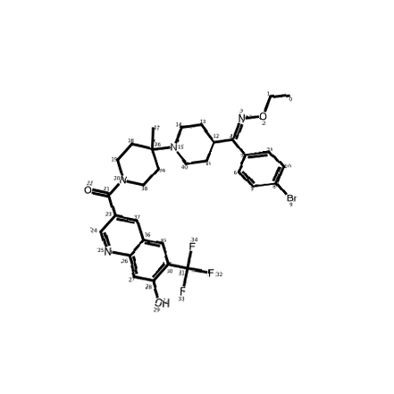 CCON=C(c1ccc(Br)cc1)C1CCN(C2(C)CCN(C(=O)c3cnc4cc(O)c(C(F)(F)F)cc4c3)CC2)CC1